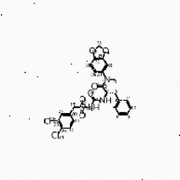 CN(C(=O)[C@H](Cc1ccccc1)NC(=O)NS(=O)(=O)Cc1ccc(Cl)c(Cl)c1)c1ccc2c(c1)OCO2